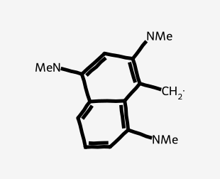 [CH2]c1c(NC)cc(NC)c2cccc(NC)c12